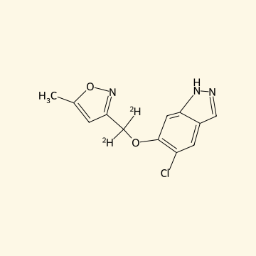 [2H]C([2H])(Oc1cc2[nH]ncc2cc1Cl)c1cc(C)on1